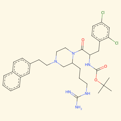 CC(C)(C)OC(=O)NC(Cc1ccc(Cl)cc1Cl)C(=O)N1CCN(CCc2ccc3ccccc3c2)CC1CCCNC(=N)N